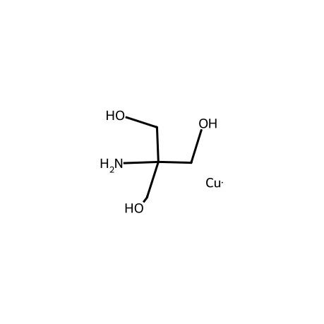 NC(CO)(CO)CO.[Cu]